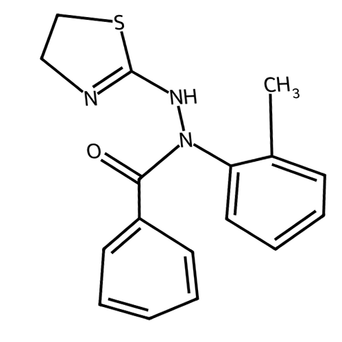 Cc1ccccc1N(NC1=NCCS1)C(=O)c1ccccc1